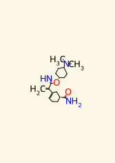 C=C(C(=N)O[C@H]1CC[C@H](N(C)C)CC1)C1=CCC[C@H](C(N)=O)C1